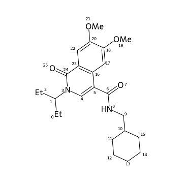 CCC(CC)n1cc(C(=O)NCC2CCCCC2)c2cc(OC)c(OC)cc2c1=O